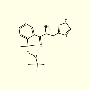 CC(C)(C)OOC(C)(C)c1ccccc1C(=O)[C@@H](N)Cc1c[nH]cn1